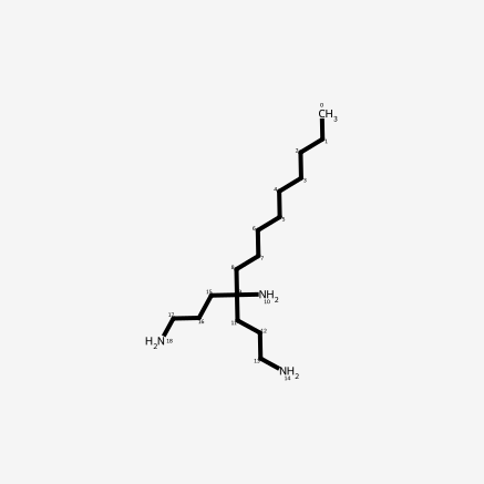 CCCCCCCCCC(N)(CCCN)CCCN